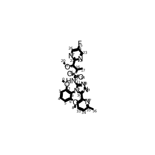 COc1cccc(OC)c1-n1c(NS(=O)(=O)C(C)C(OC)c2ncc(F)cn2)nnc1-c1cccc(C)n1